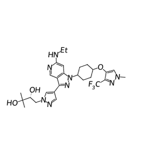 CCNc1cc2c(cn1)c(-c1cnn(C[C@@H](O)C(C)(C)O)c1)nn2C1CCC(Oc2cn(C)nc2C(F)(F)F)CC1